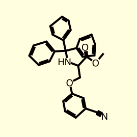 COC(=O)C(COc1cccc(C#N)c1)NC(c1ccccc1)(c1ccccc1)c1ccccc1